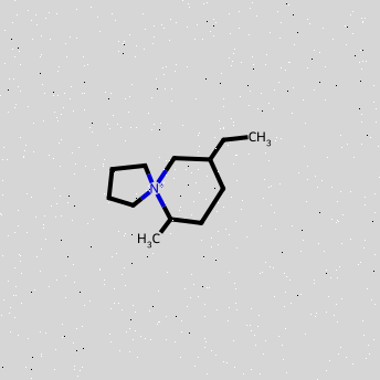 CCC1CCC(C)[N+]2(CCCC2)C1